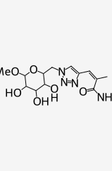 COC1OC(Cn2cc(C=C(C)C(N)=O)nn2)C(O)C(O)C1O